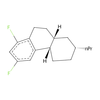 CCC[C@@H]1CC[C@@H]2c3cc(F)cc(F)c3CC[C@@H]2C1